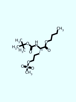 CCCCOC(=O)[C@H](CCCOS(C)(=O)=O)NC(=O)OC(C)(C)C